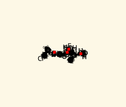 CC1(C)CCC(CN2CCN(c3ccc(C(=O)NS(=O)(=O)c4ccc(N[C@H](CCN5C[C@@H]6C[C@H]5CO6)CSc5ccccc5)c(Cl)c4S(=O)(=O)C(F)F)cc3)CC2)=C(c2ccc(Cl)cc2)C1